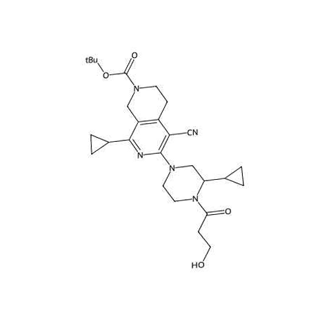 CC(C)(C)OC(=O)N1CCc2c(C#N)c(N3CCN(C(=O)CCO)C(C4CC4)C3)nc(C3CC3)c2C1